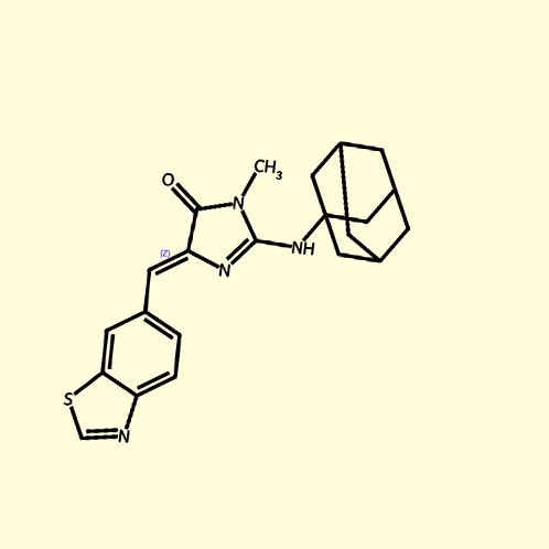 CN1C(=O)/C(=C/c2ccc3ncsc3c2)N=C1NC12CC3CC(CC(C3)C1)C2